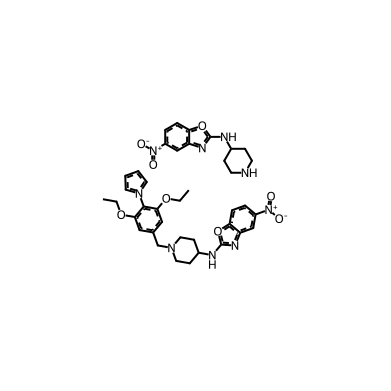 CCOc1cc(CN2CCC(Nc3nc4cc([N+](=O)[O-])ccc4o3)CC2)cc(OCC)c1-n1cccc1.O=[N+]([O-])c1ccc2oc(NC3CCNCC3)nc2c1